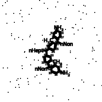 CCCCCCCCCC(c1ccc(C(CCCCCCC)c2ccc(C(CCCCCCCCC)c3ccc(N)cc3C)cc2)cc1)c1ccc(N)cc1C